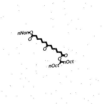 CCCCCCCCCOC(=O)CCCCCC(=O)CCCCCC(=O)OC(CCCCCCCC)CCCCCCCC